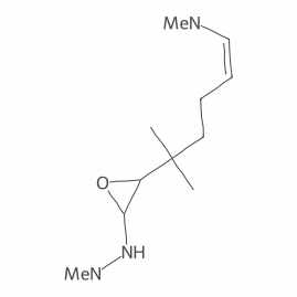 CN/C=C\CCC(C)(C)C1OC1NNC